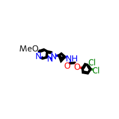 COc1cc2cn(C34CC(NC(=O)COc5ccc(Cl)c(Cl)c5)(C3)C4)nc2cn1